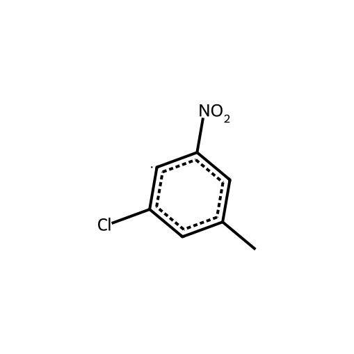 Cc1cc(Cl)[c]c([N+](=O)[O-])c1